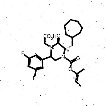 C/C=C(\C)OC(=O)N1CC(c2cc(F)cc(F)c2)N(CC(=O)O)C(=O)[C@@H]1CC1CCCCCC1